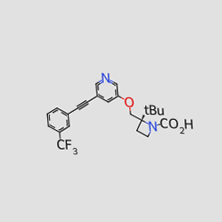 CC(C)(C)[C@]1(COc2cncc(C#Cc3cccc(C(F)(F)F)c3)c2)CCN1C(=O)O